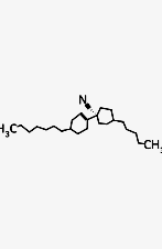 CCCCCCC[C@H]1CC=C([C@]2(C#N)CC[C@H](CCCCC)CC2)CC1